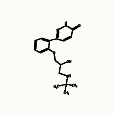 CC(C)(C)NCC(O)COc1ccccc1-c1ccc(=O)[nH]n1